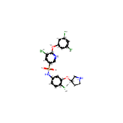 C[C@@]1(Oc2cc(NS(=O)(=O)c3cnc(Oc4cc(F)cc(F)c4)c(Br)c3)ccc2Cl)CCNC1